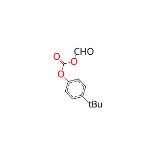 CC(C)(C)c1ccc(OC(=O)OC=O)cc1